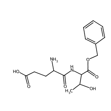 CC(O)C(NC(=O)C(N)CCC(=O)O)C(=O)OCc1ccccc1